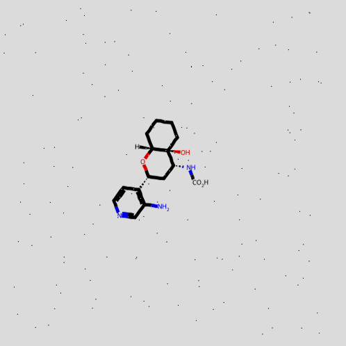 Nc1cnccc1[C@H]1C[C@@H](NC(=O)O)[C@@]2(O)CCCC[C@H]2O1